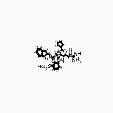 N=C(N)NCCCC(NC(=O)C1CCCC1)B(O)OC(=O)NCC1Cc2ccccc2C1.O=S(=O)(O)c1ccccc1